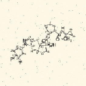 CC1(NC(=O)c2ccccc2CC[C@]2(O)CCC3=Cc4c(cnn4-c4ccc(F)c(F)c4)C[C@@]32C)CC1